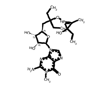 CCC(CC)(C[C@H]1OC(n2cnc3c(=O)n(C)c(N)nc32)[C@H](O)[C@@H]1O)O[PH]1=C(C)C1(O)CC